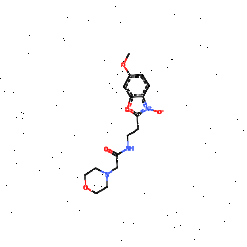 COc1ccc2c(c1)oc(CCNC(=O)CN1CCOCC1)[n+]2[O-]